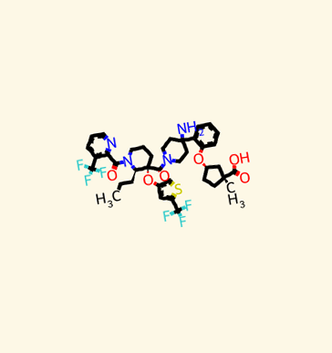 CCC[C@H]1N(C(=O)c2ncccc2C(F)(F)F)CCC[C@@]1(Oc1csc(C(F)(F)F)c1)C(=O)N1CCC(N)(c2ccccc2O[C@@H]2CC[C@@](C)(C(=O)O)C2)CC1